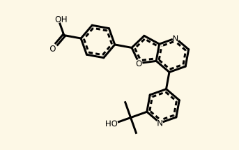 CC(C)(O)c1cc(-c2ccnc3cc(-c4ccc(C(=O)O)cc4)oc23)ccn1